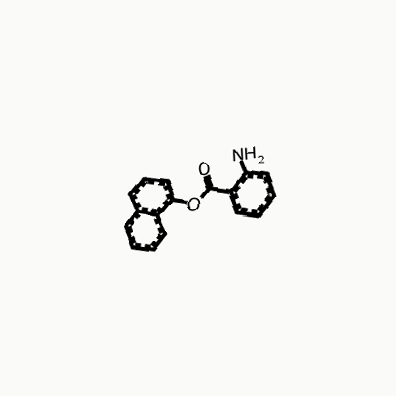 Nc1ccccc1C(=O)Oc1cccc2ccccc12